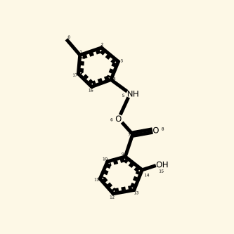 Cc1ccc(NOC(=O)c2ccccc2O)cc1